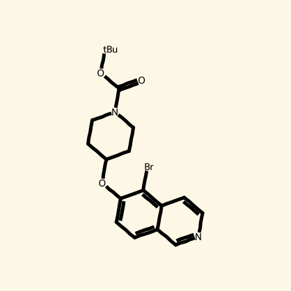 CC(C)(C)OC(=O)N1CCC(Oc2ccc3cnccc3c2Br)CC1